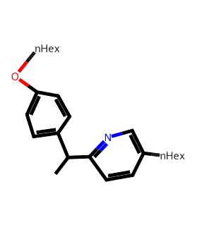 CCCCCCOc1ccc(C(C)c2ccc(CCCCCC)cn2)cc1